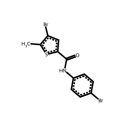 Cc1sc(C(=O)Nc2ccc(Br)cc2)cc1Br